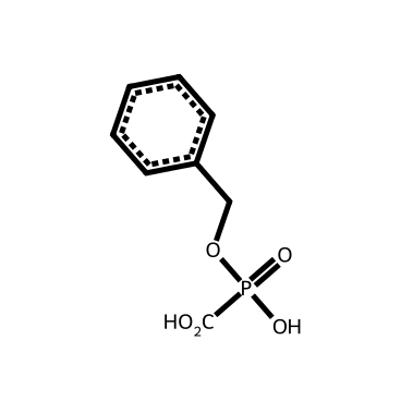 O=C(O)P(=O)(O)OCc1ccccc1